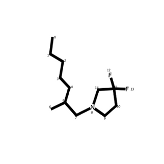 CCCCCC(C)CN1CCC(F)(F)C1